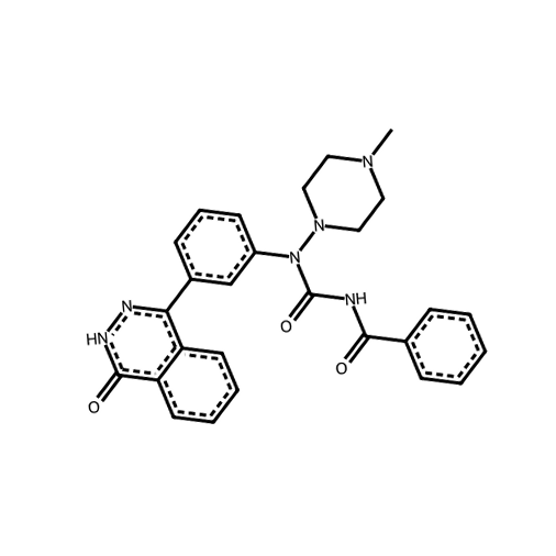 CN1CCN(N(C(=O)NC(=O)c2ccccc2)c2cccc(-c3n[nH]c(=O)c4ccccc34)c2)CC1